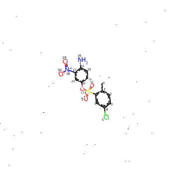 Cc1ccc(Cl)cc1S(=O)(=O)Oc1ccc(N)c([N+](=O)[O-])c1